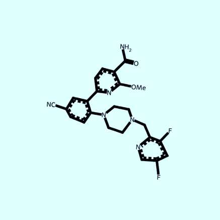 COc1nc(-c2cc(C#N)ccc2N2CCN(Cc3ncc(F)cc3F)CC2)ccc1C(N)=O